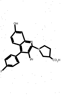 CC(C)c1c(N2CCC(C(=O)O)C2)nc2cc(O)ccc2c1-c1ccc(F)cc1